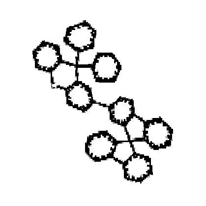 c1ccc(C2(c3ccccc3)c3ccccc3Oc3ccc(-c4ccc5c(c4)C4(c6ccccc6-c6ccccc64)c4ccccc4-5)cc32)cc1